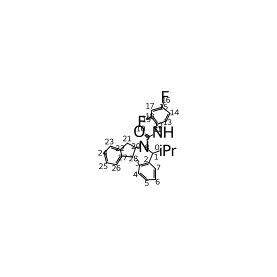 CC(C)C(c1ccccc1)N(C(=O)Nc1ccc(F)cc1F)C1Cc2ccccc2C1